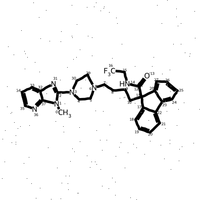 Cn1c(N2CCN(CCCCC3(C(=O)NCC(F)(F)F)c4ccccc4-c4ccccc43)CC2)nc2cccnc21